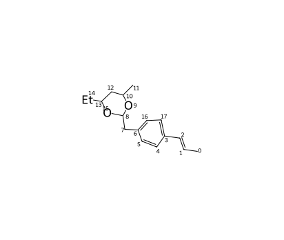 C/C=C/c1ccc(CC2OC(C)CC(CC)O2)cc1